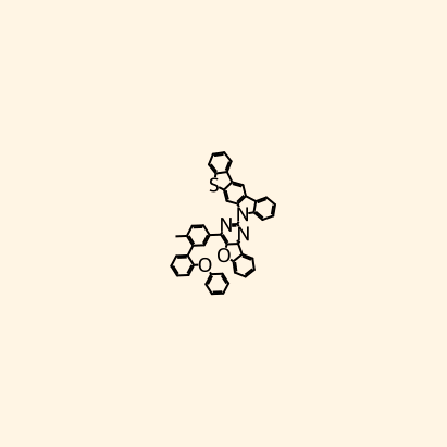 Cc1ccc(-c2nc(-n3c4ccccc4c4cc5c(cc43)sc3ccccc35)nc3c2oc2ccccc23)cc1-c1ccccc1Oc1ccccc1